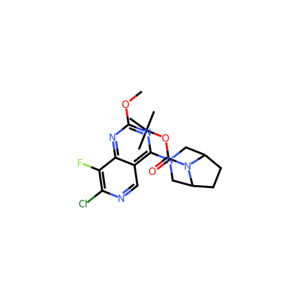 COc1nc(N2CC3CCC(C2)N3C(=O)OC(C)(C)C)c2cnc(Cl)c(F)c2n1